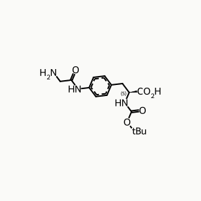 CC(C)(C)OC(=O)N[C@@H](Cc1ccc(NC(=O)CN)cc1)C(=O)O